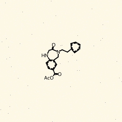 CC(=O)OC(=O)c1ccc2c(c1)CN(CCc1ccccc1)C(=O)CN2